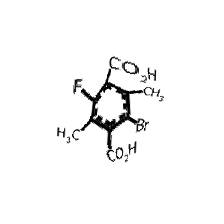 Cc1c(Br)c(C(=O)O)c(C)c(F)c1C(=O)O